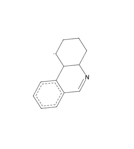 [CH]1CCCC2N=Cc3ccccc3C12